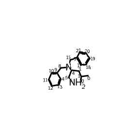 CC(C)CC(CN)N(Cc1ccccc1)Cc1ccccc1